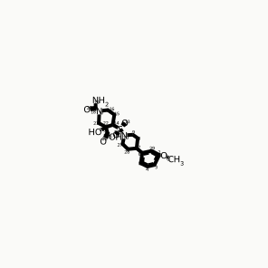 COc1cccc(C2CCN(S(=O)(=O)C3CCN(C(N)=O)CC3(O)C(=O)O)CC2)c1